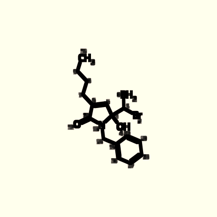 BC(Br)C1(O)C=C(CCCC)C(=O)N1Cc1ccccc1